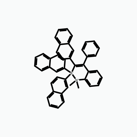 C[N+]1(C)c2ccccc2C(c2ccccc2)=C(c2ccc3ccccc3c2)[B-]1(c1ccc2ccccc2c1)c1ccc2ccccc2c1